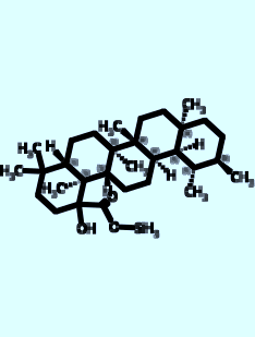 C[C@@H]1[C@H]2[C@H]3CC[C@@H]4[C@]5(C)[C@@H](CC[C@@]4(C)[C@]3(C)CC[C@@]2(C)CC[C@H]1C)C(C)(C)CCC5(O)C(=O)O[SiH3]